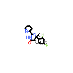 CCOC(=O)C1C(=O)NC(c2ccccn2)=NC1(C)c1ccc(F)cc1F